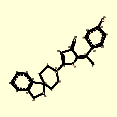 C/C(=C1\SC(N2CCC3(CC2)OCc2ccccc23)=NC1=O)c1ccc(Cl)cc1